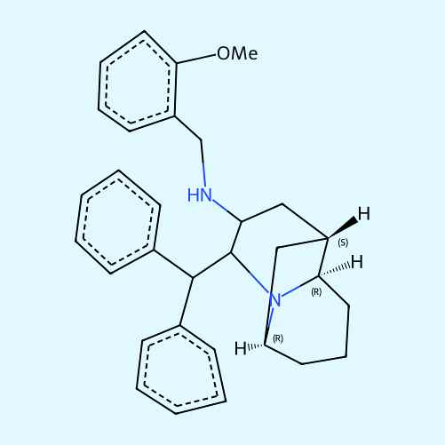 COc1ccccc1CNC1C[C@H]2C[C@H]3CCC[C@H]2N3C1C(c1ccccc1)c1ccccc1